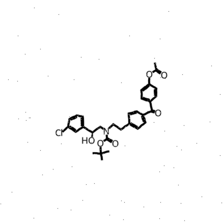 CC(=O)Oc1ccc(C(=O)c2ccc(CCN(C[C@@H](O)c3cccc(Cl)c3)C(=O)OC(C)(C)C)cc2)cc1